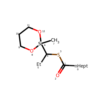 CCCCCCCC(=O)SC(CC)[Si]1(C)OCCCO1